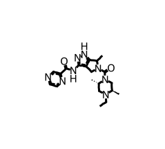 CCN1C[C@H](C)N(C(=O)N2Cc3c(NC(=O)c4cnccn4)n[nH]c3C2C)C[C@H]1C